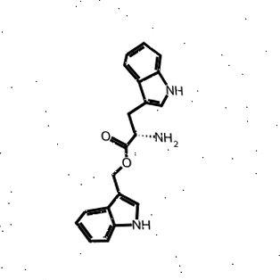 N[C@@H](Cc1c[nH]c2ccccc12)C(=O)OCc1c[nH]c2ccccc12